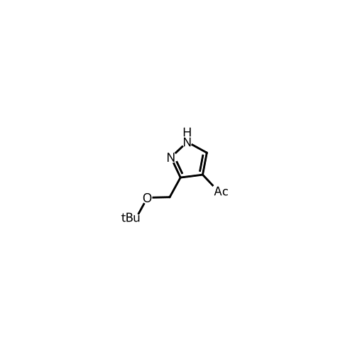 CC(=O)c1c[nH]nc1COC(C)(C)C